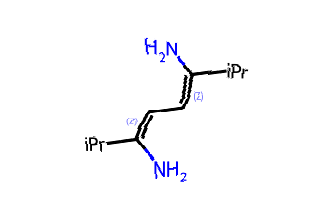 CC(C)/C(N)=C/C=C(\N)C(C)C